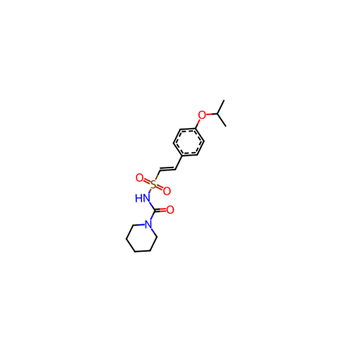 CC(C)Oc1ccc(/C=C/S(=O)(=O)NC(=O)N2CCCCC2)cc1